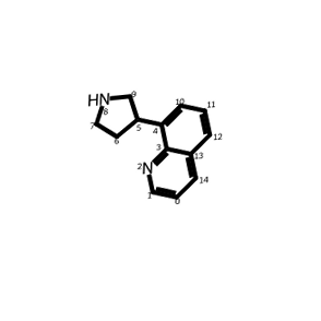 c1cnc2c(C3CCNC3)cccc2c1